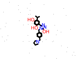 CC(C)c1cc(-c2nnc(O)n2Cc2ccc(CN3CCCC3)cc2)c(O)cc1O